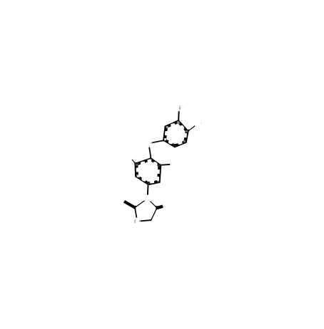 Cc1cc(N2C(=O)CNC2=O)cc(C)c1Oc1ccc(O)c(C(C)C)c1